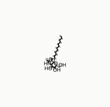 CCCCCCCCCCCCOC1O[C@H](CO)[C@@H](O)[C@H](O)[C@H]1NC(C)=O